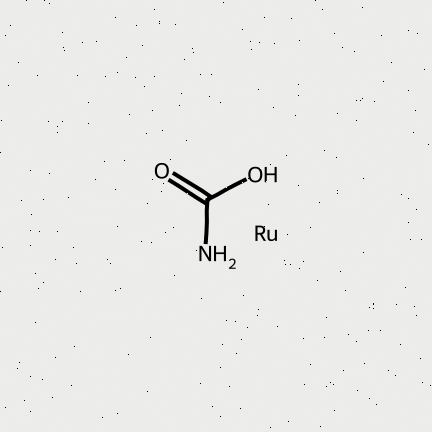 NC(=O)O.[Ru]